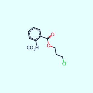 O=C(O)c1ccccc1C(=O)OCCCCl